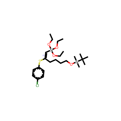 CCO[Si](/C=C(\CCCCO[Si](C)(C)C(C)(C)C)Sc1ccc(Cl)cc1)(OCC)OCC